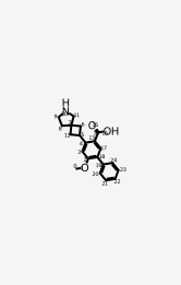 COc1cc(C2CC3(CCNC3)C2)c(C(=O)O)cc1-c1ccccc1